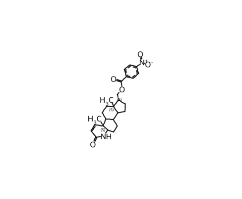 C[C@]12C=CC(=O)NC1CCC1C2CC[C@@]2(C)C1CC[C@@H]2COC(=O)c1ccc([N+](=O)[O-])cc1